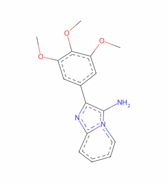 COc1cc(-c2nc3ccccn3c2N)cc(OC)c1OC